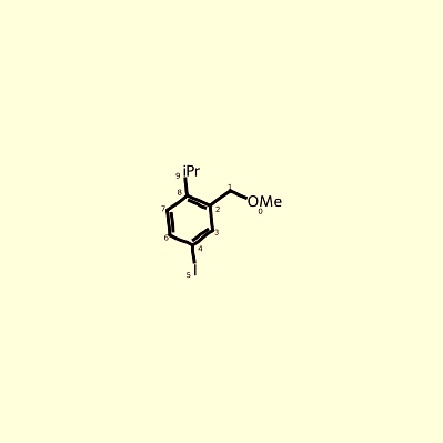 COCc1cc(I)ccc1C(C)C